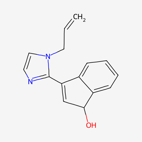 C=CCn1ccnc1C1=CC(O)c2ccccc21